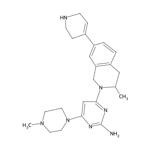 CC1Cc2ccc(C3=CCNCC3)cc2CN1c1cc(N2CCN(C)CC2)nc(N)n1